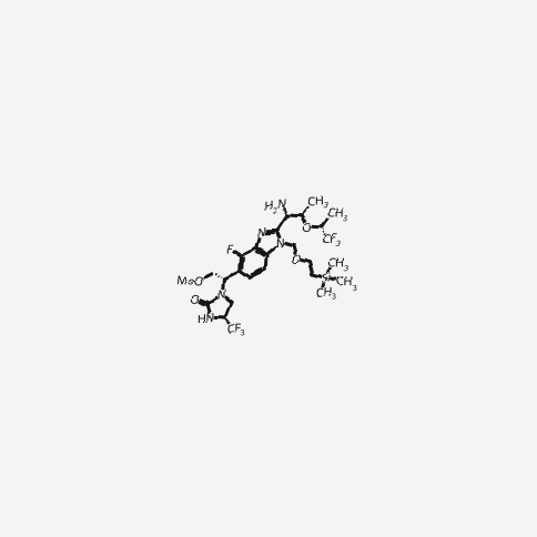 COC[C@H](c1ccc2c(nc([C@@H](N)[C@@H](C)O[C@H](C)C(F)(F)F)n2COCC[Si](C)(C)C)c1F)N1C[C@@H](C(F)(F)F)NC1=O